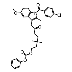 COc1ccc2c(c1)c(CC(=O)CCC(C)(C)CCOC(=O)Oc1ccccc1)c(C)n2C(=O)c1ccc(Cl)cc1